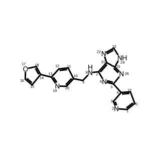 c1cncc(-c2nc(NCc3ccc(-c4ccoc4)nc3)c3nc[nH]c3n2)c1